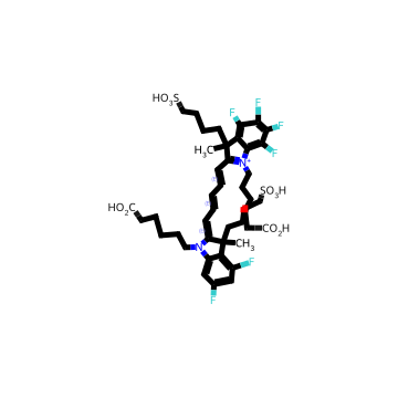 CC1(CCCCS(=O)(=O)O)C(/C=C/C=C/C=C2/N(CCCCCC(=O)O)c3cc(F)cc(F)c3C2(C)CCCCS(=O)(=O)O)=[N+](CCCCCC(=O)O)c2c(F)c(F)c(F)c(F)c21